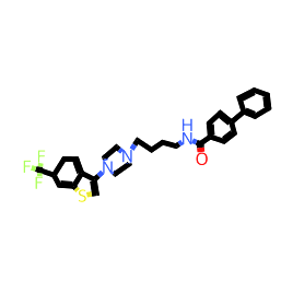 O=C(NCCCCN1CCN(c2csc3c2=CCC(C(F)(F)F)C=3)CC1)c1ccc(-c2ccccc2)cc1